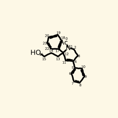 CC(=O)N1CCC(c2ccccc2)=CC1(CCCO)c1ccccc1